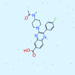 CC(=O)N(C)C1CCN(c2nc3cc(C(=O)O)ccc3nc2-c2ccc(F)cc2)CC1